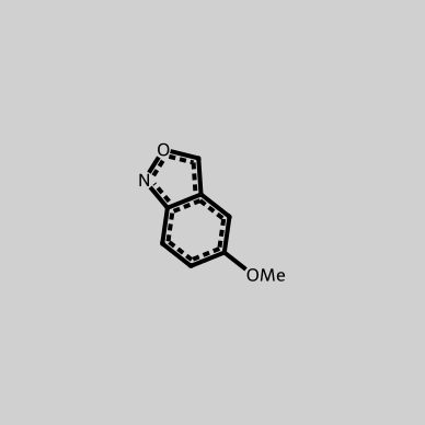 COc1ccc2nocc2c1